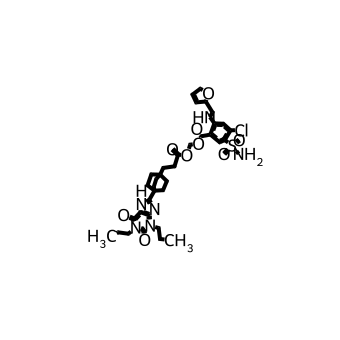 CCCn1c(=O)c2[nH]c(C34CCC(CCC(=O)OCOC(=O)c5cc(S(N)(=O)=O)c(Cl)cc5NCC5C=CCO5)(CC3)CC4)nc2n(CCC)c1=O